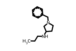 CCCNC1CCN(Cc2ccccc2)C1